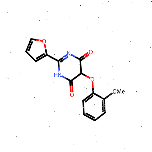 COc1ccccc1OC1C(=O)N=C(c2ccco2)NC1=O